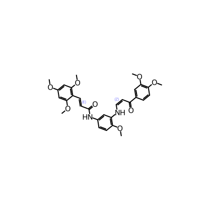 COc1cc(OC)c(/C=C/C(=O)Nc2ccc(OC)c(N/C=C\C(=O)c3ccc(OC)c(OC)c3)c2)c(OC)c1